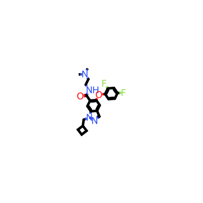 CN(C)CCNC(=O)c1cc2c(cnn2CC2CCC2)cc1Oc1ccc(F)cc1F